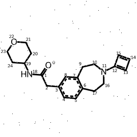 O=C(Cc1ccc2c(c1)CCN(C1=CC=C1)CC2)NC1CCOCC1